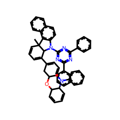 CC12C=CC=C(C3=CC=C4C(C3)OC3C=CC=CC3N4c3ccccc3)C1N(c1nc(-c3ccccc3)nc(-c3ccccc3)n1)c1ccc3ccccc3c12